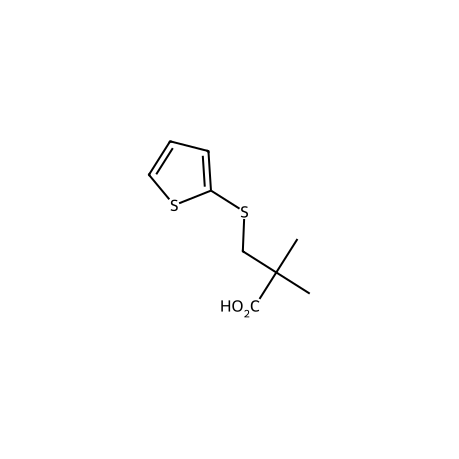 CC(C)(CSc1cccs1)C(=O)O